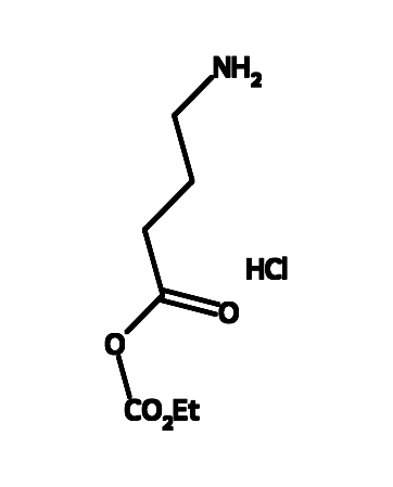 CCOC(=O)OC(=O)CCCN.Cl